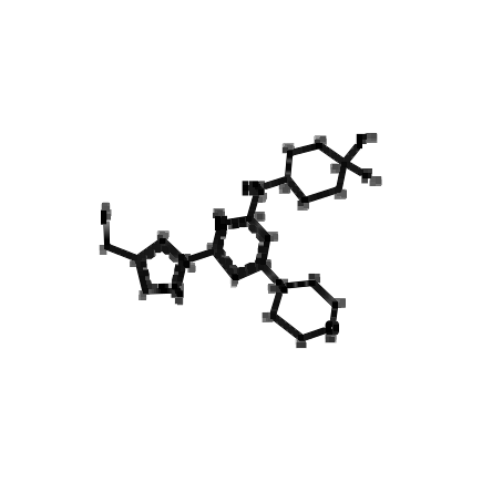 FCc1cnn(-c2cc(N3CCOCC3)cc(NC3CCC(F)(F)CC3)n2)c1